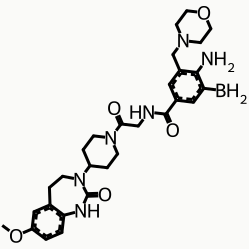 Bc1cc(C(=O)NCC(=O)N2CCC(N3CCc4cc(OC)ccc4NC3=O)CC2)cc(CN2CCOCC2)c1N